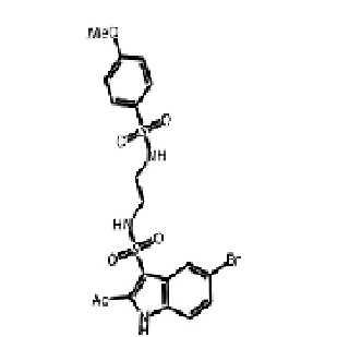 COc1ccc(S(=O)(=O)NCCNS(=O)(=O)c2c(C(C)=O)[nH]c3ccc(Br)cc23)cc1